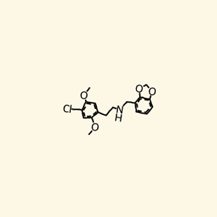 COc1cc(CCNCc2cccc3c2OCO3)c(OC)cc1Cl